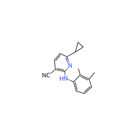 Cc1cccc(Nc2nc(C3CC3)ccc2C#N)c1C